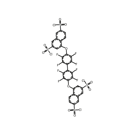 O=S(=O)(Cl)c1ccc2c(Oc3c(F)c(F)c(-c4c(F)c(F)c(Oc5cc(S(=O)(=O)Cl)cc6cc(S(=O)(=O)Cl)ccc56)c(F)c4F)c(F)c3F)cc(S(=O)(=O)Cl)cc2c1